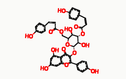 O=C(/C=C\c1ccc(O)cc1)OCC1O[C@@H](Oc2c(-c3ccc(O)cc3)oc3cc(O)cc(O)c3c2=O)C(O)[C@@H](OC(=O)/C=C\c2ccc(O)cc2)[C@@H]1O